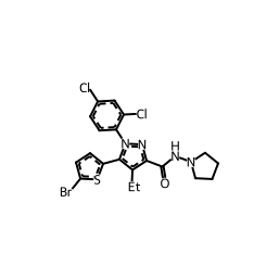 CCc1c(C(=O)NN2CCCC2)nn(-c2ccc(Cl)cc2Cl)c1-c1ccc(Br)s1